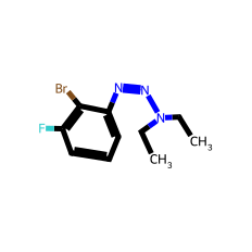 CCN(CC)/N=N\c1cccc(F)c1Br